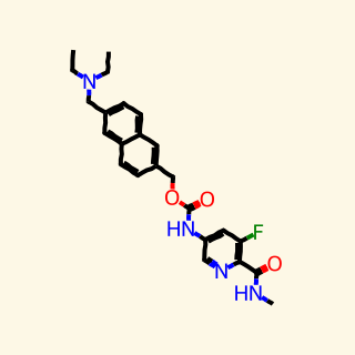 CCN(CC)Cc1ccc2cc(COC(=O)Nc3cnc(C(=O)NC)c(F)c3)ccc2c1